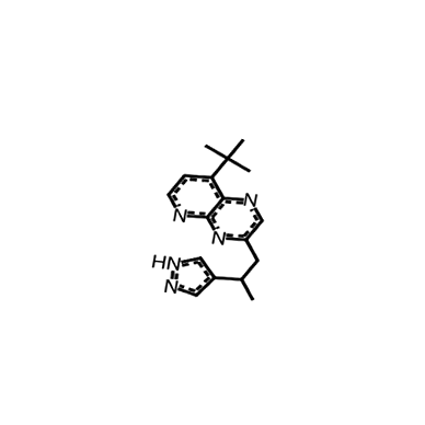 CC(Cc1cnc2c(C(C)(C)C)ccnc2n1)c1cn[nH]c1